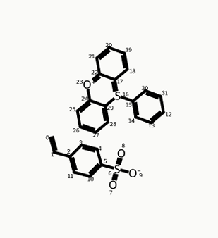 C=Cc1ccc(S(=O)(=O)[O-])cc1.c1ccc(S2=c3ccccc3=[O+]c3ccccc32)cc1